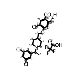 C[C@@H](c1cc(Cl)cc(Cl)c1)N1CCC(COc2cc(F)c(C(=O)O)cc2Cl)CC1.O=C(O)C(F)(F)F